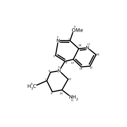 COc1ncc(N2CC(C)CC(N)C2)c2cccnc12